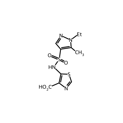 CCn1ncc(S(=O)(=O)Nc2scnc2C(=O)O)c1C